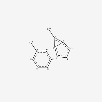 [CH]c1c2cccc1-2.[CH]c1ccccc1